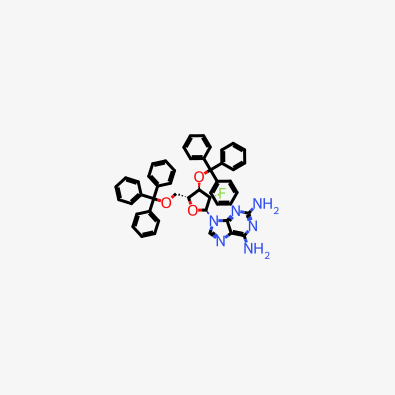 Nc1nc(N)c2ncn([C@@H]3O[C@H](COC(c4ccccc4)(c4ccccc4)c4ccccc4)[C@@H](OC(c4ccccc4)(c4ccccc4)c4ccccc4)[C@@H]3F)c2n1